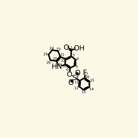 O=C(O)c1ccc(OS(=O)(=O)c2ccccc2F)c2[nH]c3c(c12)CCCC3